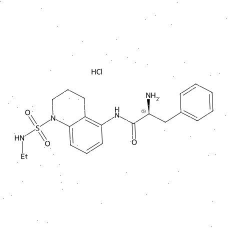 CCNS(=O)(=O)N1CCCc2c(NC(=O)[C@@H](N)Cc3ccccc3)cccc21.Cl